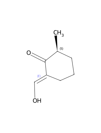 C[C@H]1CCC/C(=C\O)C1=O